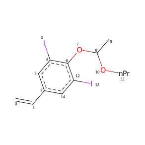 C=Cc1cc(I)c(OC(C)OCCC)c(I)c1